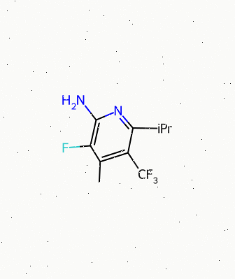 Cc1c(F)c(N)nc(C(C)C)c1C(F)(F)F